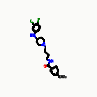 COc1ccc(C(=O)NCCCCN2CCC(Nc3ccc(F)c(F)c3)CC2)cc1